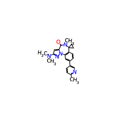 Cc1ccc(-c2ccc3c(c2)-n2nc(N(C)C)cc2C(=O)N(C)C32CC2)cn1